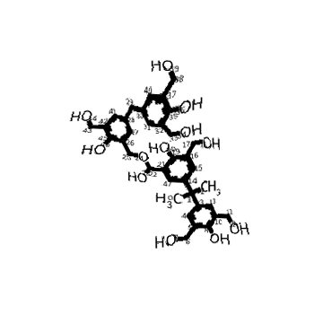 CC(C)(c1cc(CO)c(O)c(CO)c1)c1cc(CO)c(O)c(C(O)OCc2cc(Cc3cc(CO)c(O)c(CO)c3)cc(CO)c2O)c1